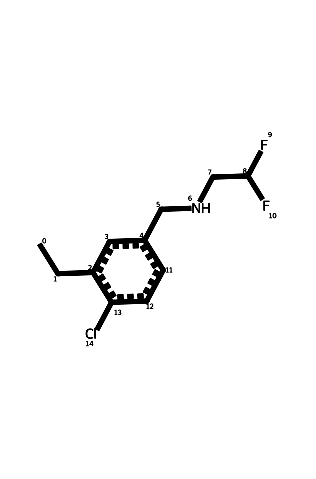 CCc1cc(CNCC(F)F)ccc1Cl